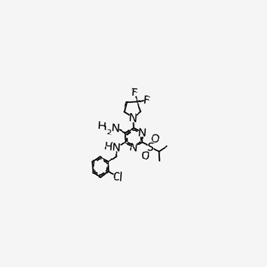 CC(C)S(=O)(=O)c1nc(NCc2ccccc2Cl)c(N)c(N2CCC(F)(F)C2)n1